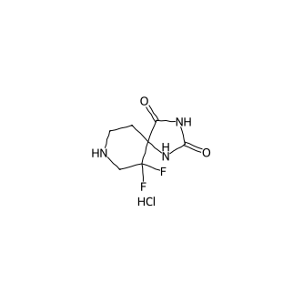 Cl.O=C1NC(=O)C2(CCNCC2(F)F)N1